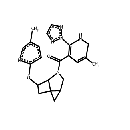 CC1=CC(C(=O)N2CC3CC34CC(Oc3ccc(C)cn3)C24)=C(n2nccn2)NC1